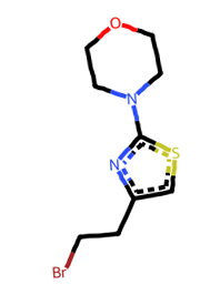 BrCCc1csc(N2CCOCC2)n1